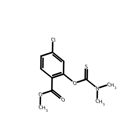 COC(=O)c1ccc(Cl)cc1OC(=S)N(C)C